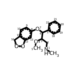 CNCC(OC)C(Oc1ccc2c(c1)OOC2)c1ccccc1